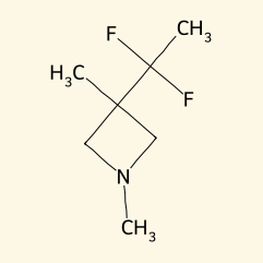 CN1CC(C)(C(C)(F)F)C1